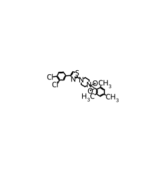 Cc1cc(C)c(S(=O)(=O)N2CCN(c3nc(-c4ccc(Cl)c(Cl)c4)cs3)CC2)c(C)c1